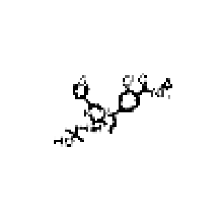 CC(C)(O)CNc1nc(-c2ccoc2)cn2c(-c3ccc(C(=O)NC4CC4)c(Cl)c3)cnc12